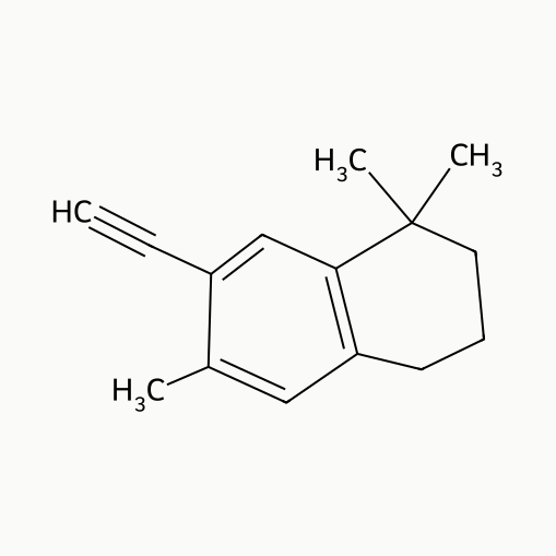 C#Cc1cc2c(cc1C)CCCC2(C)C